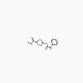 CN(C(=O)CN1CCN(C(=O)OI)CC1)c1ccccc1